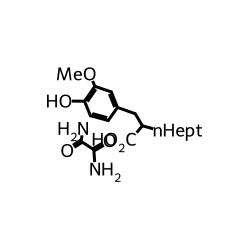 CCCCCCCC(Cc1ccc(O)c(OC)c1)C(=O)O.NC(=O)C(N)=O